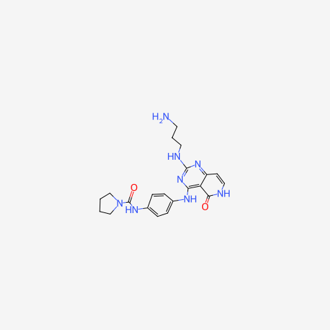 NCCCNc1nc(Nc2ccc(NC(=O)N3CCCC3)cc2)c2c(=O)[nH]ccc2n1